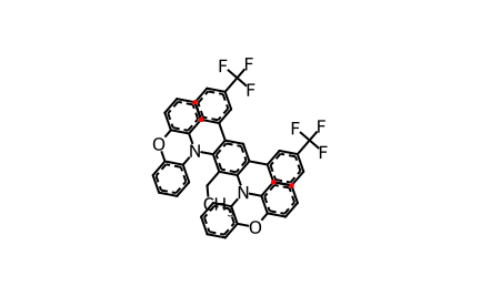 CCc1c(N2c3ccccc3Oc3ccccc32)c(-c2cccc(C(F)(F)F)c2)cc(-c2cccc(C(F)(F)F)c2)c1N1c2ccccc2Oc2ccccc21